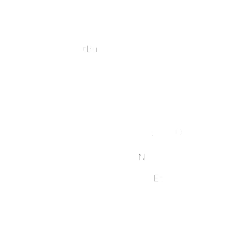 CCN(C(=O)c1ccc(C(C)(C)C)cc1)c1ccccc1C